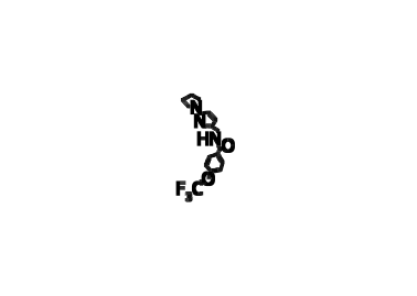 O=C(NCc1ccc(N2CCCC2)nc1)c1ccc(OCC(F)(F)F)cc1